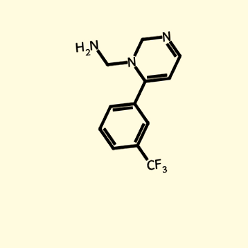 NCN1CN=CC=C1c1cccc(C(F)(F)F)c1